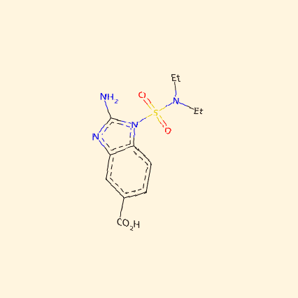 CCN(CC)S(=O)(=O)n1c(N)nc2cc(C(=O)O)ccc21